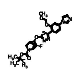 COCOc1cc(-n2ccnc2)ccc1-c1nnc(O[C@@H]2C3CC([C@H]2F)N(C(=O)OC(C)(C)C)C3)s1